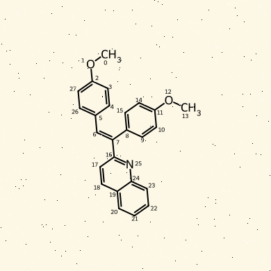 COc1ccc(/C=C(\c2ccc(OC)cc2)c2ccc3ccccc3n2)cc1